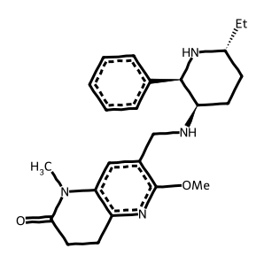 CC[C@@H]1CC[C@@H](NCc2cc3c(nc2OC)CCC(=O)N3C)[C@@H](c2ccccc2)N1